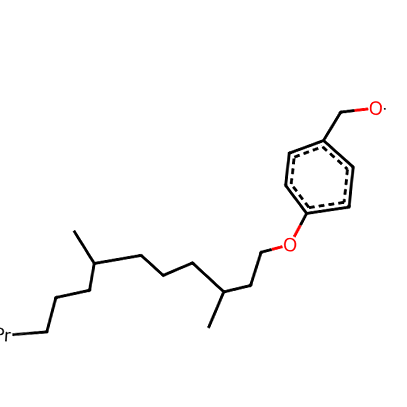 CC(C)CCCC(C)CCCC(C)CCOc1ccc(C[O])cc1